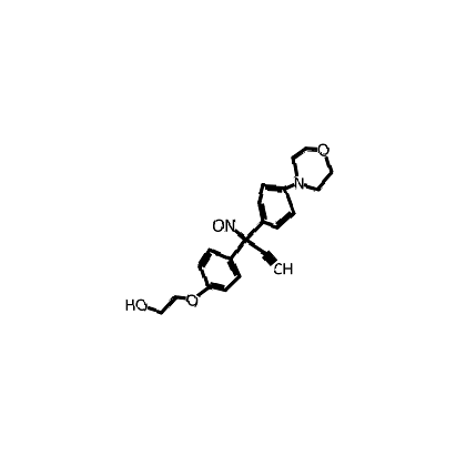 C#CC(N=O)(c1ccc(OCCO)cc1)c1ccc(N2CCOCC2)cc1